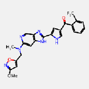 COc1cc(CN(C)c2cc3[nH]c(-c4cc(C(=O)c5ccccc5C(F)(F)F)c[nH]4)nc3cn2)on1